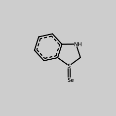 [Se]=S1CNc2ccccc21